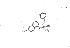 C[C@](O)(CCc1cccnc1)Oc1cccc2cc(Br)ccc12